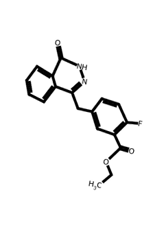 CCOC(=O)c1cc(Cc2n[nH]c(=O)c3ccccc23)ccc1F